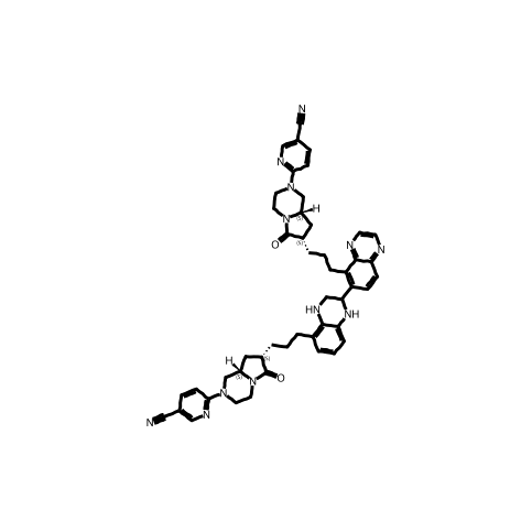 N#Cc1ccc(N2CCN3C(=O)[C@@H](CCCc4cccc5c4NCC(c4ccc6nccnc6c4CCC[C@H]4C[C@H]6CN(c7ccc(C#N)cn7)CCN6C4=O)N5)C[C@H]3C2)nc1